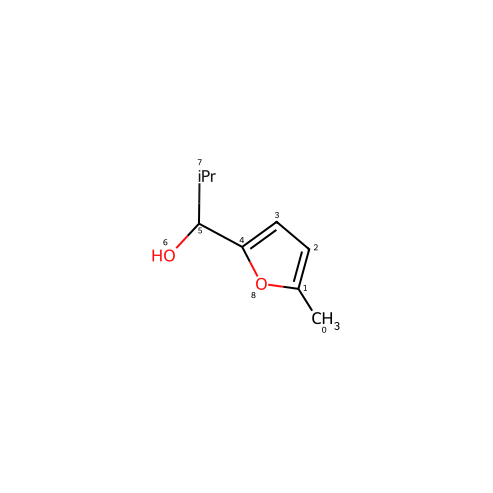 Cc1ccc(C(O)C(C)C)o1